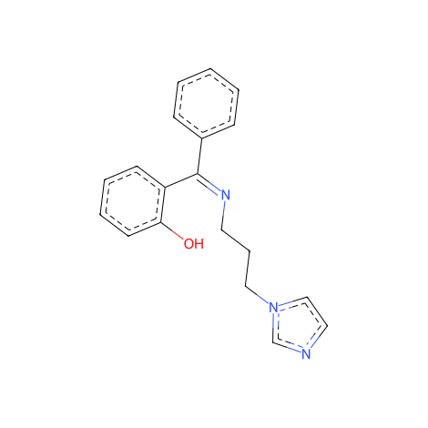 Oc1ccccc1/C(=N\CCCn1ccnc1)c1ccccc1